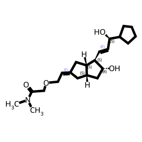 CN(C)C(=O)COC/C=C1\C[C@H]2C[C@@H](O)[C@H](/C=C/[C@@H](O)C3CCCC3)[C@H]2C1